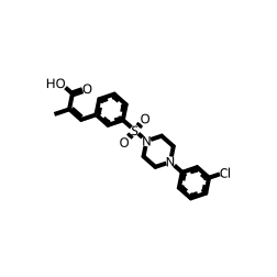 CC(=Cc1cccc(S(=O)(=O)N2CCN(c3cccc(Cl)c3)CC2)c1)C(=O)O